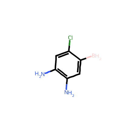 Bc1cc(N)c(N)cc1Cl